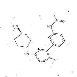 CC(=O)Nc1cccc(-c2nc(N[C@H]3CC[C@H](N)CC3)ncc2Cl)c1